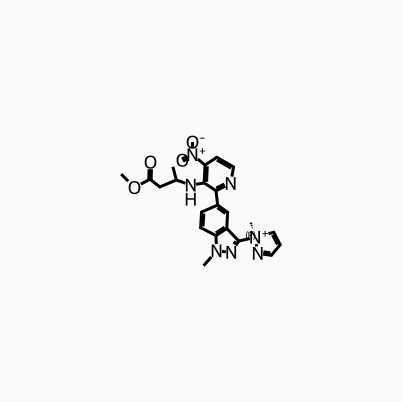 COC(=O)CC(C)Nc1c([N+](=O)[O-])ccnc1-c1ccc2c(c1)c([N@@+]1(C)C=CC=N1)nn2C